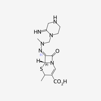 CC1S[C@@H]2/C(=N/N(C)CN3CCNCC3=N)C(=O)N2C=C1C(=O)O